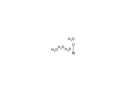 O.O.O.O.[Li][Br]